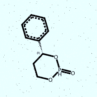 O=[PH]1OCC[C@H](c2ccccc2)O1